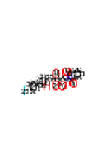 O=C(O)[C@H](CCN1C(=O)c2ccccc2C1=O)[C@@H](O)CCc1ccc(-c2ccc(F)cc2)cc1